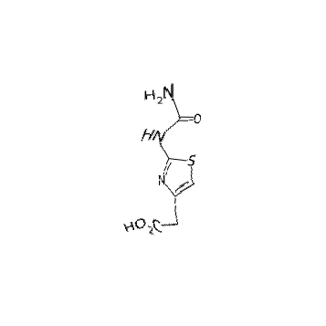 NC(=O)Nc1nc(CC(=O)O)cs1